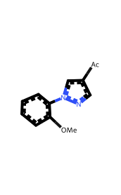 COc1ccccc1-n1cc(C(C)=O)cn1